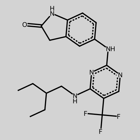 CCC(CC)CNc1nc(Nc2ccc3c(c2)CC(=O)N3)ncc1C(F)(F)F